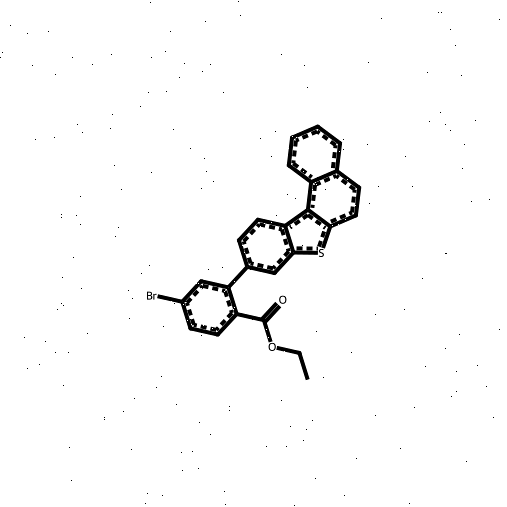 CCOC(=O)c1ccc(Br)cc1-c1ccc2c(c1)sc1ccc3ccccc3c12